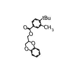 Cc1cc(C(=O)OCC2COc3ccccc3O2)ccc1C(C)(C)C